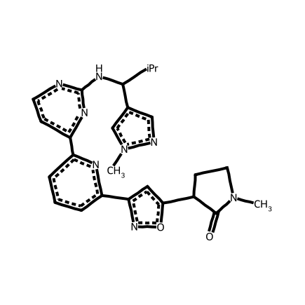 CC(C)C(Nc1nccc(-c2cccc(-c3cc(C4CCN(C)C4=O)on3)n2)n1)c1cnn(C)c1